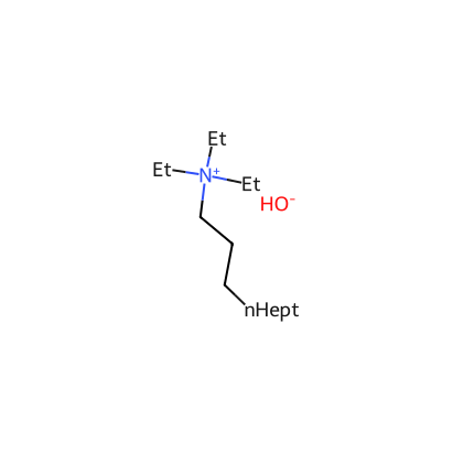 CCCCCCCCCC[N+](CC)(CC)CC.[OH-]